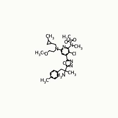 COCCN(CC1CC1C)c1cc(-c2nnc(C(C)(N)Cc3ccc(C)cc3)o2)c(Cl)c(N(C)S(C)(=O)=O)n1